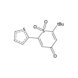 CC(C)(C)C1=CC(=O)C=C(c2cccs2)S1(=O)=O